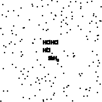 Cl.Cl.Cl.[SbH3]